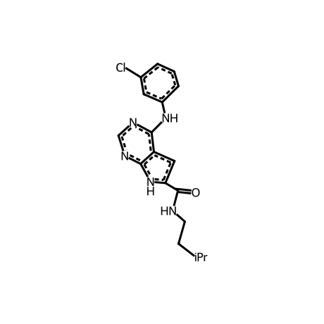 CC(C)CCNC(=O)c1cc2c(Nc3cccc(Cl)c3)ncnc2[nH]1